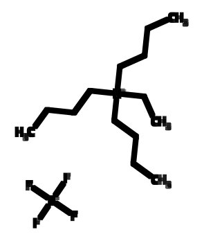 CCCC[N+](CC)(CCCC)CCCC.F[B-](F)(F)F